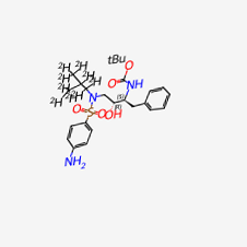 [2H]C([2H])([2H])C([2H])(C([2H])([2H])[2H])C([2H])([2H])N(C[C@@H](O)[C@H](Cc1ccccc1)NC(=O)OC(C)(C)C)S(=O)(=O)c1ccc(N)cc1